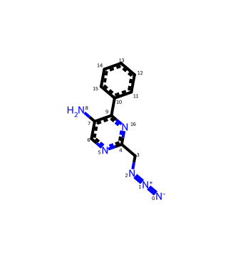 [N-]=[N+]=NCc1ncc(N)c(-c2ccccc2)n1